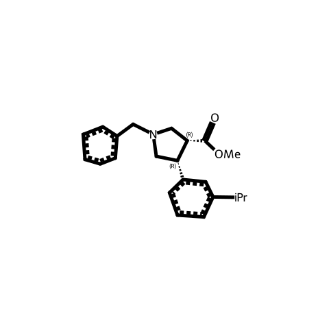 COC(=O)[C@H]1CN(Cc2ccccc2)C[C@H]1c1cccc(C(C)C)c1